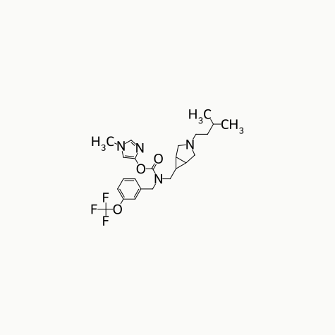 CC(C)CCN1CC2C(C1)C2CN(Cc1cccc(OC(F)(F)F)c1)C(=O)Oc1cn(C)cn1